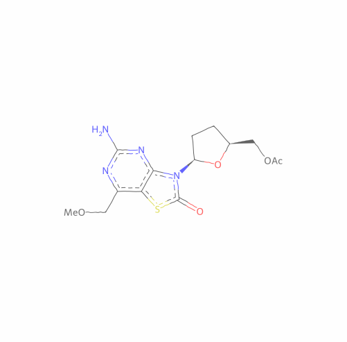 COCc1nc(N)nc2c1sc(=O)n2[C@H]1CC[C@@H](COC(C)=O)O1